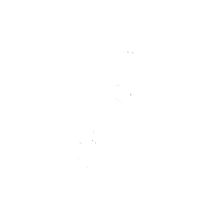 O=C(O)C[C@@H]1CCc2cc(OCCc3cccc(-c4ccsc4)n3)ccc21